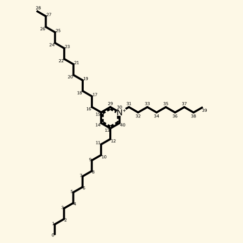 CCCCCCCCCCCCCc1cc(CCCCCCCCCCCCC)c[n+](CCCCCCCCC)c1